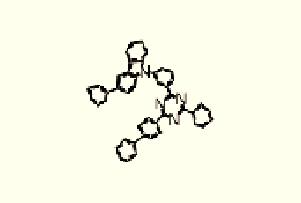 c1ccc(-c2ccc(-c3nc(-c4ccccc4)nc(-c4cccc(-n5c6ccccc6c6cc(-c7ccccc7)ccc65)c4)n3)cc2)cc1